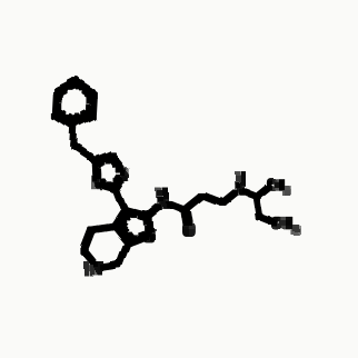 CCC(C)NCCC(=O)Nc1sc2c(c1-c1nc(Cc3ccccc3)cs1)CCNC2